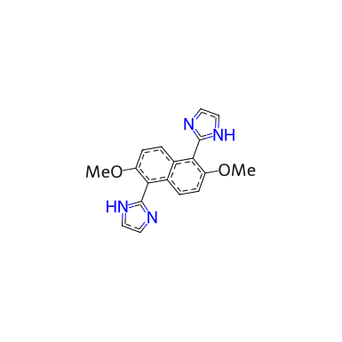 COc1ccc2c(-c3ncc[nH]3)c(OC)ccc2c1-c1ncc[nH]1